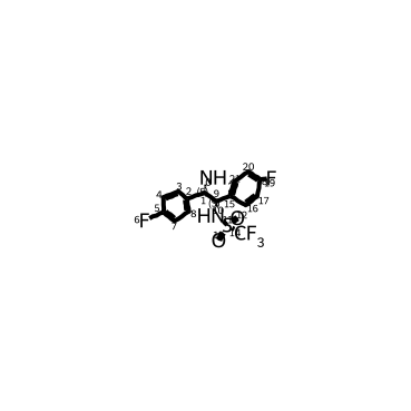 N[C@@H](c1ccc(F)cc1)[C@@H](NS(=O)(=O)C(F)(F)F)c1ccc(F)cc1